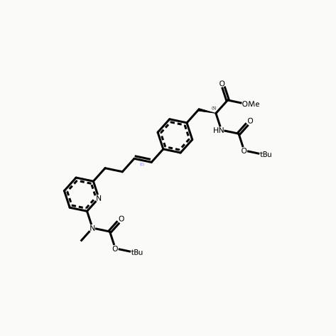 COC(=O)[C@H](Cc1ccc(/C=C/CCc2cccc(N(C)C(=O)OC(C)(C)C)n2)cc1)NC(=O)OC(C)(C)C